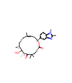 C/C1=C/C[C@@H](c2ccc3c(c2)nc(C)n3C)OC(=O)CCC(C)(C)C(=O)[C@H](C)C(O)[C@@H](C)CCC1